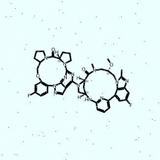 CO[C@H]1CN(C)C(=O)[C@@H]2C[C@@H](CN2c2nc3nc4c2cnn4-c2ccc(F)cc2OCC2CCCN2C(=O)[C@@H]2CCCN32)Nc2cccc(n2)-c2cc(F)cc3nc(C)n(c23)C1